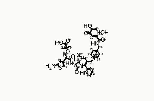 CC(C)(O/N=C(\C(=O)N[C@@H]1C(=O)N2C(c3nnn[nH]3)=C(C[N+]34CCC(CNC(=O)c5cc(=O)c(O)cn5O)(CC3)CC4)C[S+]([O-])[C@H]12)c1csc(N)n1)C(=O)O